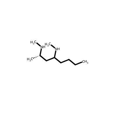 CCCCC(C[C@H](C)NC)NC